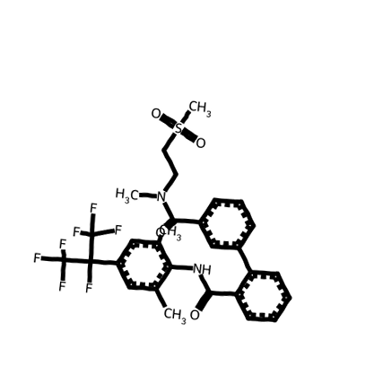 Cc1cc(C(F)(C(F)(F)F)C(F)(F)F)cc(C)c1NC(=O)c1ccccc1-c1cccc(C(=O)N(C)CCS(C)(=O)=O)c1